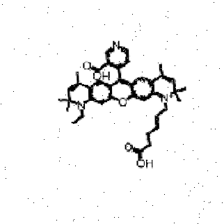 CCN1c2cc3c(cc2C(C)=CC1(C)C)C(c1ccncc1C(=O)O)=c1cc2c(cc1O3)=[N+](CCCCCC(=O)O)C(C)(C)C=C2C